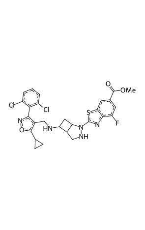 COC(=O)c1cc(F)c2nc(N3NCC4C(NCc5c(-c6c(Cl)cccc6Cl)noc5C5CC5)CC43)sc2c1